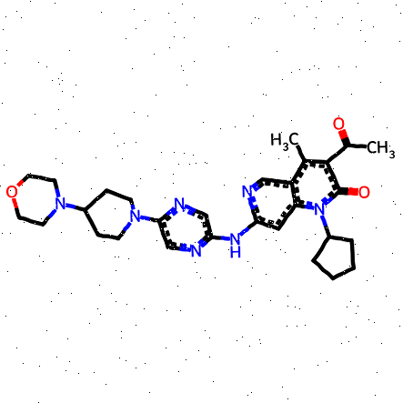 CC(=O)c1c(C)c2cnc(Nc3cnc(N4CCC(N5CCOCC5)CC4)cn3)cc2n(C2CCCC2)c1=O